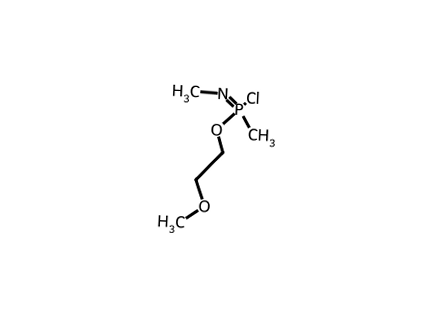 CN=P(C)(Cl)OCCOC